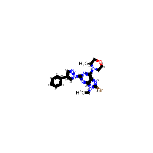 CCn1c(Br)nc2c(N3CCOC[C@@H]3C)nc(-n3cc(-c4ccccc4)cn3)nc21